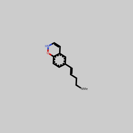 CNCCC=Cc1ccc2c(c1)C=CNO2